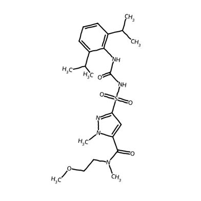 COCCN(C)C(=O)c1cc(S(=O)(=O)NC(=O)Nc2c(C(C)C)cccc2C(C)C)nn1C